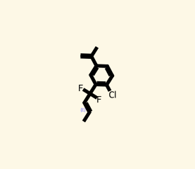 C=C(C)c1ccc(Cl)c(C(F)(F)/C=C/C)c1